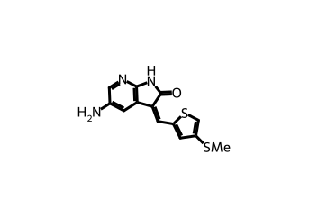 CSc1csc(C=C2C(=O)Nc3ncc(N)cc32)c1